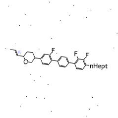 C/C=C/C1CCC(c2ccc(-c3ccc(-c4ccc(CCCCCCC)c(F)c4F)cc3)c(F)c2)CO1